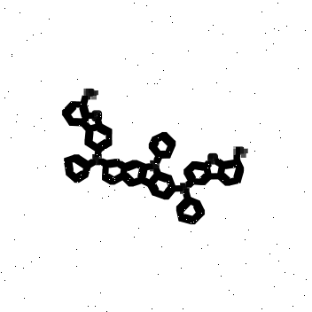 CC(C)c1cccc2c1oc1ccc(N(c3ccccc3)c3ccc4cc5c6ccc(N(c7ccccc7)c7ccc8oc9c(C(C)C)cccc9c8c7)cc6n(-c6ccccc6)c5cc4c3)cc12